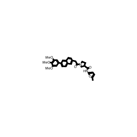 COc1cc(-c2ccc3cc(CC(=O)N4CCC(C(=O)Nc5ccc(C)o5)C4)ccc3c2)cc(OC)c1OC